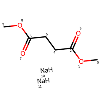 COC(=O)CCC(=O)OC.[NaH].[NaH]